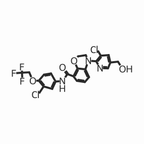 O=C(Nc1ccc(OCC(F)(F)F)c(Cl)c1)c1cccc2c1OCCN2c1ncc(CO)cc1Cl